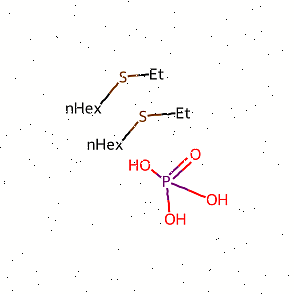 CCCCCCSCC.CCCCCCSCC.O=P(O)(O)O